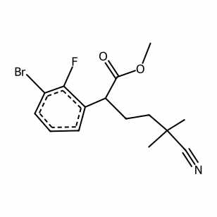 COC(=O)C(CCC(C)(C)C#N)c1cccc(Br)c1F